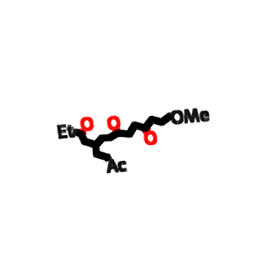 CCC(=O)CC(CCC(C)=O)CCC(=O)CCC(=O)CCCOC